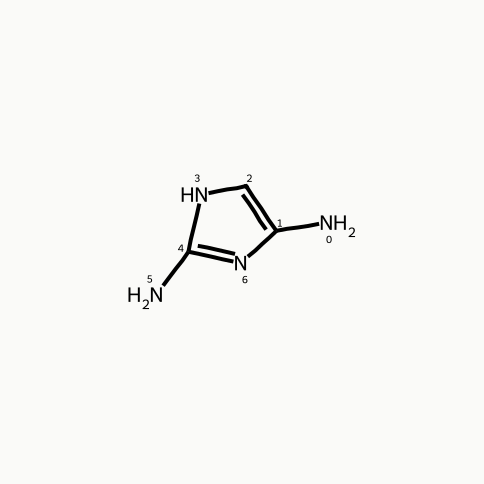 Nc1c[nH]c(N)n1